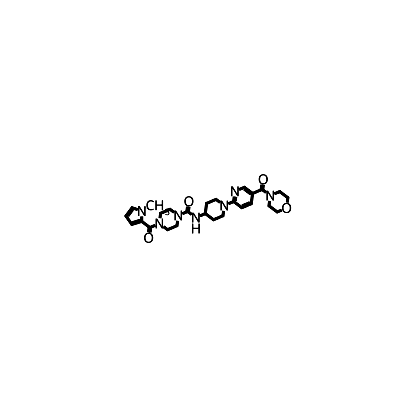 Cn1cccc1C(=O)N1CCN(C(=O)NC2CCN(c3ccc(C(=O)N4CCOCC4)cn3)CC2)CC1